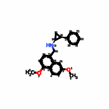 COc1ccc2c(OC)ccc(CN[C@@H]3C[C@H]3c3ccccc3)c2c1